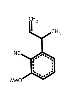 C=C[C](C)c1cccc(OC)c1C#N